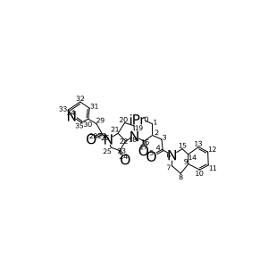 CC(C)CC(CC(=O)N1CCC2C=CC=CC2C1)C(=O)N1CCC2C1C(=O)CN2C(=O)Cc1cccnc1